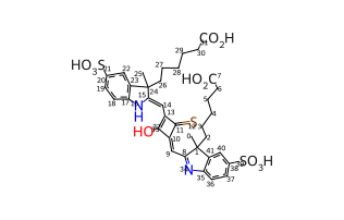 CC1(CCCCCC(=O)O)C(C=C2C(=S)C(C=C3Nc4ccc(S(=O)(=O)O)cc4C3(C)CCCCCC(=O)O)=C2O)=Nc2ccc(S(=O)(=O)O)cc21